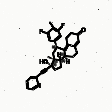 Cc1c(F)cc([C@H]2C[C@@]3(C)[C@@H](CC[C@@]3(O)C#Cc3ccccn3)[C@@H]3CCC4=CC(=O)CCC4=C32)cc1F